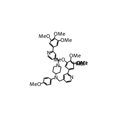 COc1ccc(N(Cc2ccnc(-c3cc(OC)c(OC)c(OC)c3)c2)C2CCN(Cc3ccnc(-c4cc(OC)c(OC)c(OC)c4)c3)CC2)cc1.Cl.Cl.Cl